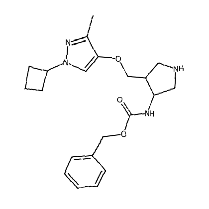 Cc1nn(C2CCC2)cc1OCC1CNCC1NC(=O)OCc1ccccc1